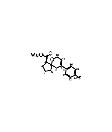 COC(=O)C1CCCC12CC(c1ccc(F)cc1)=CCO2